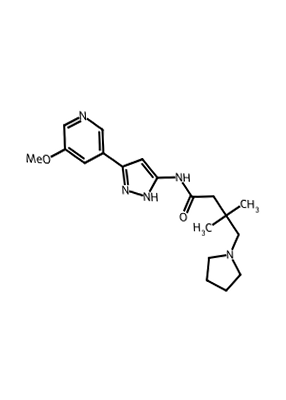 COc1cncc(-c2cc(NC(=O)CC(C)(C)CN3CCCC3)[nH]n2)c1